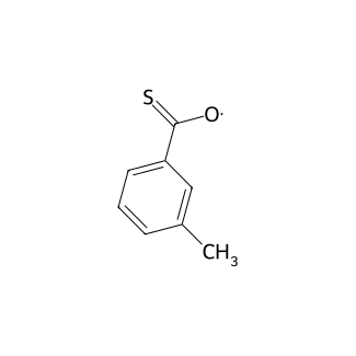 Cc1cccc(C([O])=S)c1